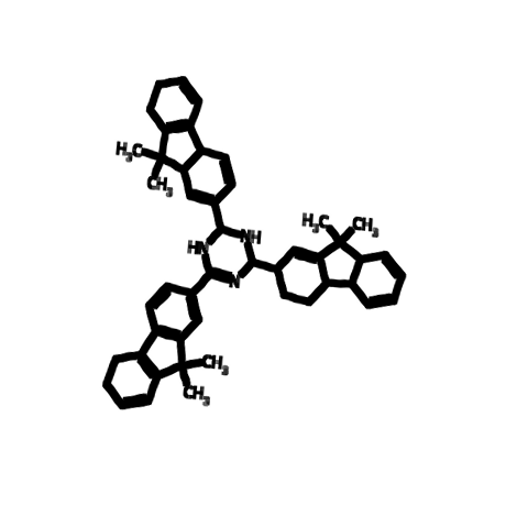 CC1(C)C2=C(CCC=C2)c2ccc(C3=NC(C4C=C5C(CC4)C4C=CC=CC4C5(C)C)NC(C4=CC5C(C=C4)C4=C(CCC=C4)C5(C)C)N3)cc21